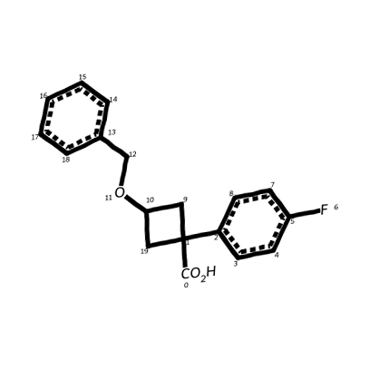 O=C(O)C1(c2ccc(F)cc2)CC(OCc2ccccc2)C1